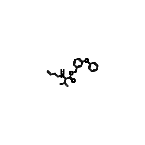 C=CCCNC(C(=O)OCc1cccc(Oc2ccccc2)c1)C(C)C